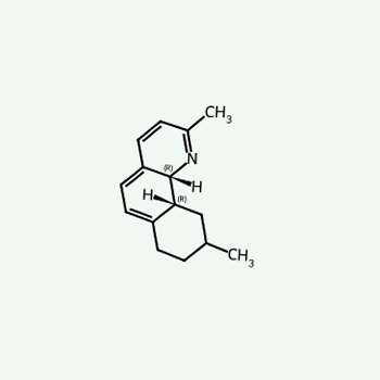 CC1=N[C@H]2C(=CC=C3CCC(C)C[C@H]32)C=C1